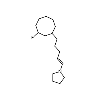 FC1CCCCCC(CCC/C=C/N2CCCC2)C1